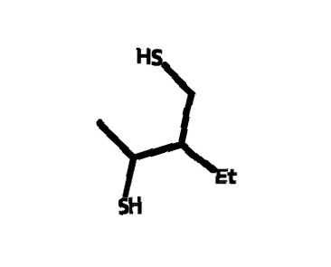 CCC(CS)C(C)S